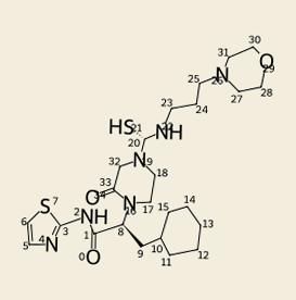 O=C(Nc1nccs1)[C@H](CC1CCCCC1)N1CCN([C@H](S)NCCCN2CCOCC2)CC1=O